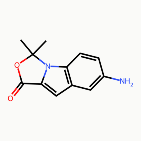 CC1(C)OC(=O)c2cc3cc(N)ccc3n21